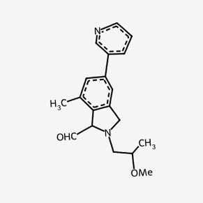 COC(C)CN1Cc2cc(-c3cccnc3)cc(C)c2C1C=O